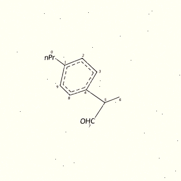 CCCc1ccc(C(C)C=O)cc1